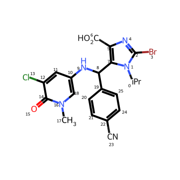 CC(C)n1c(Br)nc(C(=O)O)c1C(Nc1cc(Cl)c(=O)n(C)c1)c1ccc(C#N)cc1